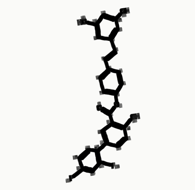 O=C(Oc1ccc(/C=C/c2cc(O)cc(O)c2)cc1)c1cc(-c2ccc(F)cc2F)ccc1O